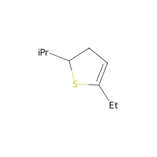 CCC1=CCC(C(C)C)S1